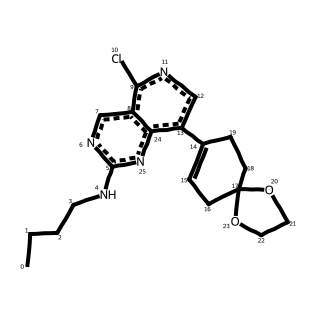 CCCCNc1ncc2c(Cl)ncc(C3=CCC4(CC3)OCCO4)c2n1